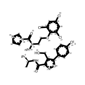 CC(C)[C@H](C)NC(=O)c1noc(-c2ccc(C(F)(F)F)cc2)c1CO.CCCN(CCOc1c(Cl)cc(Cl)cc1Cl)C(=O)n1ccnc1